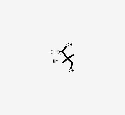 CC(C)(CO)[C@@H](O)[C+]=O.[Br-]